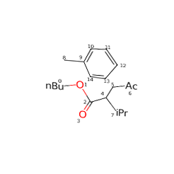 CCCCOC(=O)C(CC(C)=O)C(C)C.Cc1ccccc1